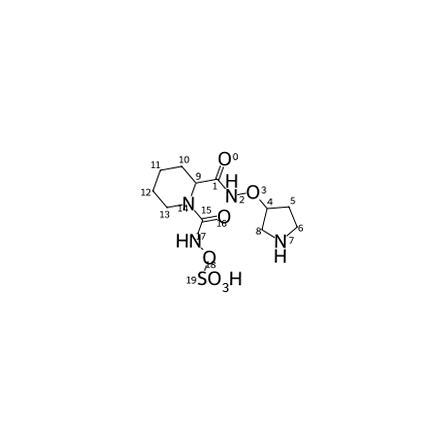 O=C(NOC1CCNC1)C1CCCCN1C(=O)NOS(=O)(=O)O